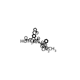 CCOC(=O)[C@H](C)OP(=O)(CCNC(=O)C(C)c1ccc(CC2CCCC2=O)cc1C(=O)CCC(=O)O)Oc1ccccc1